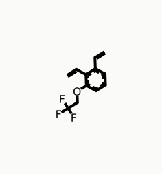 C=Cc1cccc(OCC(F)(F)F)c1C=C